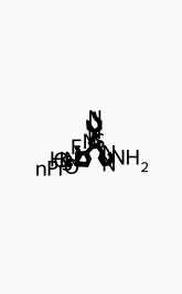 CCCS(=O)(=O)Nc1cccc(-c2nc(N3CCN(C)CC3)sc2-c2ccnc(N)n2)c1F